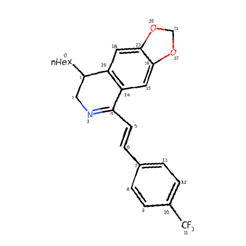 CCCCCCC1CN=C(C=Cc2ccc(C(F)(F)F)cc2)c2cc3c(cc21)OCO3